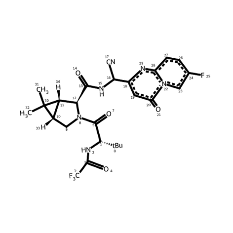 CC(C)(C)[C@H](NC(=O)C(F)(F)F)C(=O)N1C[C@H]2[C@@H]([C@H]1C(=O)NC(C#N)c1cc(=O)n3cc(F)ccc3n1)C2(C)C